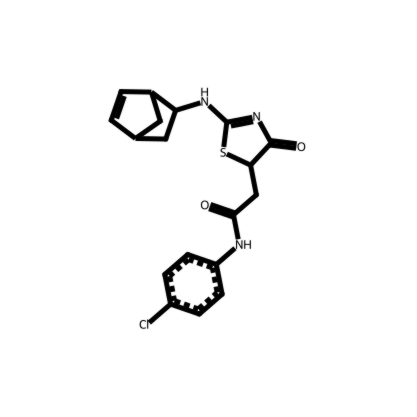 O=C(CC1SC(NC2CC3C=CC2C3)=NC1=O)Nc1ccc(Cl)cc1